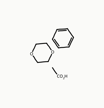 C1COCCO1.CC(=O)O.c1ccccc1